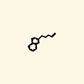 C=CCC[CH]c1ccc2ccccc2c1